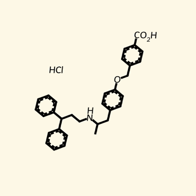 CC(Cc1ccc(OCc2ccc(C(=O)O)cc2)cc1)NCCC(c1ccccc1)c1ccccc1.Cl